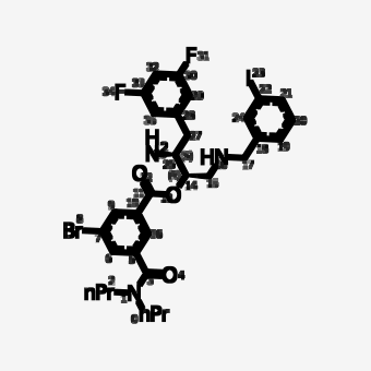 CCCN(CCC)C(=O)c1cc(Br)cc(C(=O)O[C@H](CNCc2cccc(I)c2)[C@@H](N)Cc2cc(F)cc(F)c2)c1